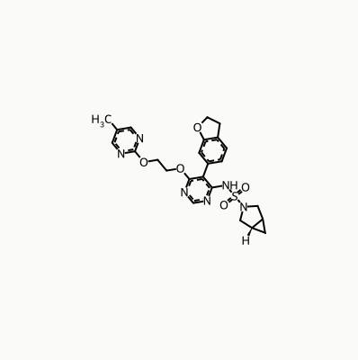 Cc1cnc(OCCOc2ncnc(NS(=O)(=O)N3CC4C[C@@H]4C3)c2-c2ccc3c(c2)OCC3)nc1